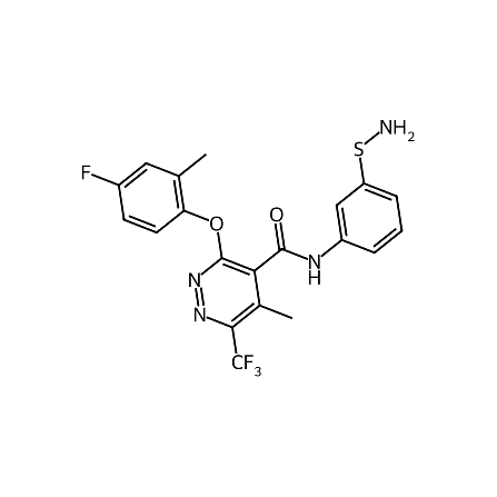 Cc1cc(F)ccc1Oc1nnc(C(F)(F)F)c(C)c1C(=O)Nc1cccc(SN)c1